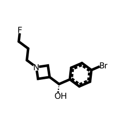 O[C@@H](c1ccc(Br)cc1)C1CN(CCCF)C1